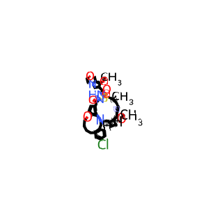 COc1c(C(=O)NS2(=O)=NC(=O)c3ccc4c(c3)N(Cc3ccc(Cl)cc3CCCCO4)C[C@@H]3CC[C@H]3[C@@H](OC)/C=C/C[C@H](C)C2)cn2c1COCC2